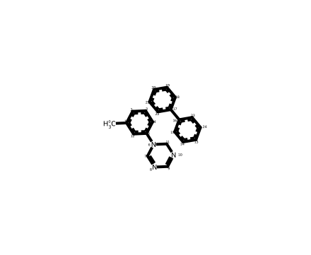 Cc1cccc(N2C=NC=NC2)c1.c1ccc(-c2ccccc2)cc1